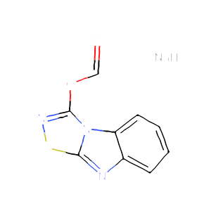 O=COc1nsc2nc3ccccc3n12.[NaH]